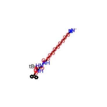 CC(C)(C)OC(=O)[C@H](CCC(=O)NCCNC(=O)CCOCCOCCOCCOCCOCCOCCOCCOCCOCCN=[N+]=[N-])NC(=O)OCC1c2ccccc2-c2ccccc21